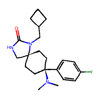 CN(C)[C@]1(c2ccc(F)cc2)CC[C@@]2(CC1)CNC(=O)N2CC1CCC1